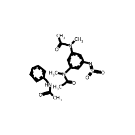 CC(=O)N(C)c1cc(N=S(=O)=O)cc(N(C)C(C)=O)c1.CC(=O)Nc1ccccc1